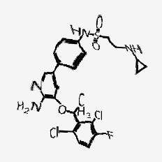 CC(Oc1cc(-c2ccc(NS(=O)(=O)CCNC3CC3)cc2)cnc1N)c1c(Cl)ccc(F)c1Cl